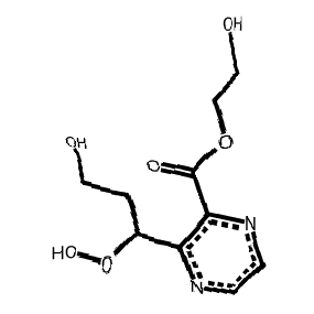 O=C(OCCO)c1nccnc1C(CCO)OO